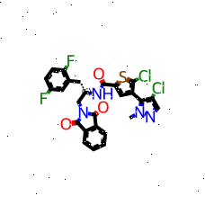 Cn1ncc(Cl)c1-c1cc(C(=O)N[C@@H](Cc2cc(F)ccc2F)CN2C(=O)c3ccccc3C2=O)sc1Cl